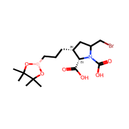 CC1(C)OB(CCC[C@@H]2CC(CBr)N(C(=O)O)[C@@H]2C(=O)O)OC1(C)C